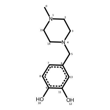 CN1CCN(Cc2ccc(O)c(O)c2)CC1